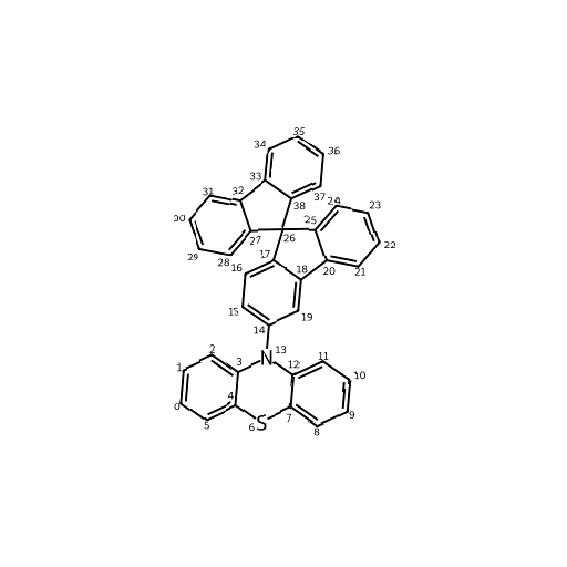 c1ccc2c(c1)Sc1ccccc1N2c1ccc2c(c1)-c1ccccc1C21c2ccccc2-c2ccccc21